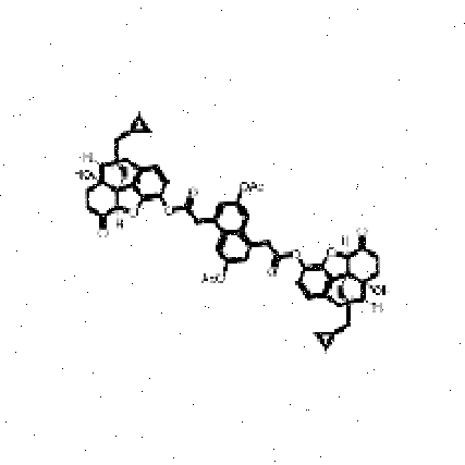 CC(=O)Oc1cc(CC(=O)Oc2ccc3c4c2O[C@H]2C(=O)CC[C@@]5(O)[C@@H](C3)N(CC3CC3)CC[C@]425)c2cc(OC(C)=O)cc(CC(=O)Oc3ccc4c5c3O[C@H]3C(=O)CC[C@@]6(O)[C@@H](C4)N(CC4CC4)CC[C@]536)c2c1